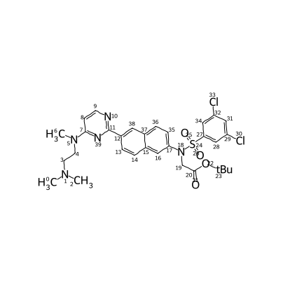 CN(C)CCN(C)c1ccnc(-c2ccc3cc(N(CC(=O)OC(C)(C)C)S(=O)(=O)c4cc(Cl)cc(Cl)c4)ccc3c2)n1